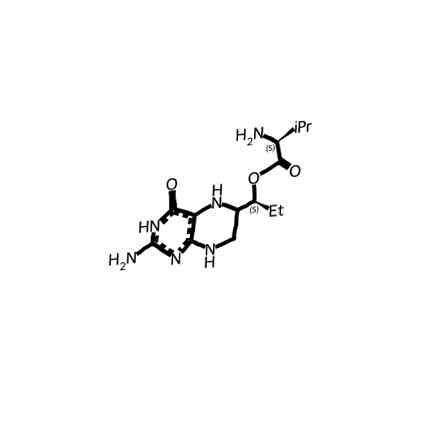 CC[C@H](OC(=O)[C@@H](N)C(C)C)C1CNc2nc(N)[nH]c(=O)c2N1